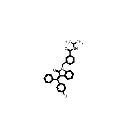 CC(C)NC(=O)c1cccc(CN2C(=O)/C(=C(\c3ccccc3)c3ccc(Cl)cc3)c3ccccc32)c1